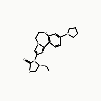 O=C1OC[C@@H](CF)N1c1cn2c(n1)-c1ccc(N3CCCC3)cc1OCC2